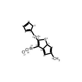 CC1=CC2S[C]([Zr+2][C]3=CC=CC3)=C(Br)C2=C1.[Cl-].[Cl-]